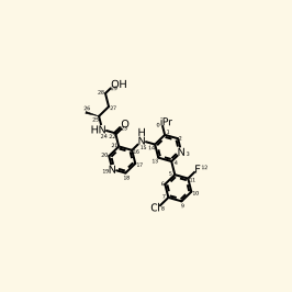 CC(C)c1cnc(-c2cc(Cl)ccc2F)cc1Nc1ccncc1C(=O)N[C@@H](C)CCO